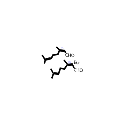 CC(C)=CCC/C(C)=C\C=O.CC(C)=CCC/C(C)=C\C=O.[Eu]